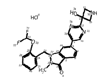 Cl.Cn1c(=O)c2ccc(-c3cnc(C4(O)CNC4)nc3)cc2n1Cc1ccccc1OC(F)F